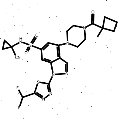 CC1(C(=O)N2CCN(c3cc(S(=O)(=O)NC4(C#N)CC4)cc4c3cnn4-c3nnc(C(F)F)s3)CC2)CCC1